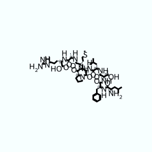 CSCC[C@H](NC(=O)[C@@H]1CCCN1C(=O)[C@@H](NC(=O)[C@H](CC(C)C)NC(=O)[C@@H](NC(=O)[C@H](Cc1ccccc1)NC(=O)[C@@H](N)CC(C)C)[C@@H](C)O)C(C)C)C(=O)N[C@@H](C)C(=O)N[C@@H](CCCNC(=N)N)C(=O)O